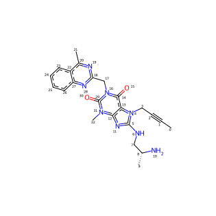 CC#CCn1c(NC[C@@H](C)N)nc2c1c(=O)n(Cc1nc(C)c3ccccc3n1)c(=O)n2C